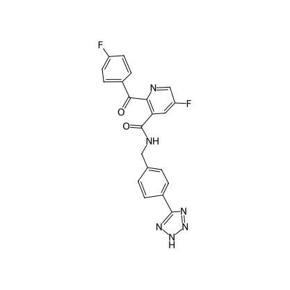 O=C(NCc1ccc(-c2nn[nH]n2)cc1)c1cc(F)cnc1C(=O)c1ccc(F)cc1